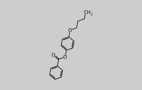 CCCCOc1ccc(OC(=O)c2ccccc2)cc1